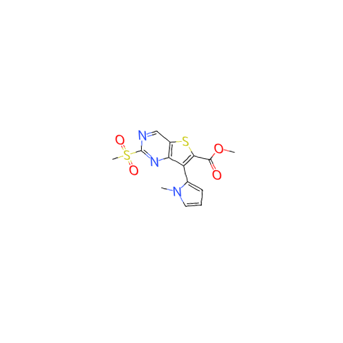 COC(=O)c1sc2cnc(S(C)(=O)=O)nc2c1-c1cccn1C